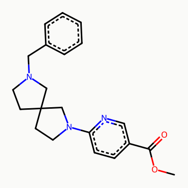 COC(=O)c1ccc(N2CCC3(CCN(Cc4ccccc4)C3)C2)nc1